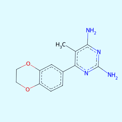 Cc1c(N)nc(N)nc1-c1ccc2c(c1)OCCO2